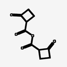 O=C1CCC1C(=O)OC(=O)C1CCC1=O